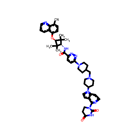 CC1(C)[C@H](NC(=O)c2ccc(N3CCC(CN4CCC(n5ccc6c(N7CCC(=O)NC7=O)nccc65)CC4)CC3)nn2)C(C)(C)[C@H]1Oc1ccc(C#N)c2ncccc12